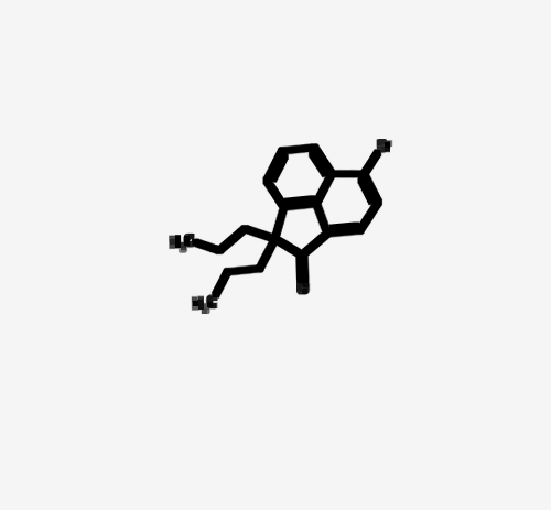 CCCC1(CCC)C(=O)c2ccc(Br)c3cccc1c23